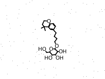 CC1(C)CCOc2ccc(CCCCOC3OC(CO)C(O)C(O)C3O)cc21